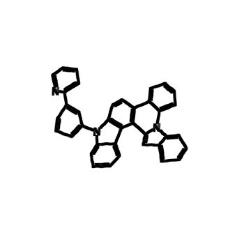 c1ccc(-c2cccc(-n3c4ccccc4c4c5c(ccc43)c3ccccc3n3c4ccccc4cc53)c2)nc1